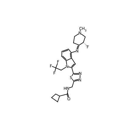 CN1CC/C(=N\c2cccc3c2cc(-c2nnc(CNC(=O)C4CCC4)s2)n3CC(F)(F)F)[C@@H](F)C1